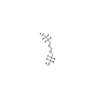 FC(F)(F)C(F)(F)C(F)(F)CO[CH]OCC(F)(F)C(F)(F)C(F)(F)F